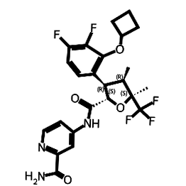 C[C@@H]1[C@H](c2ccc(F)c(F)c2OC2CCC2)[C@@H](C(=O)Nc2ccnc(C(N)=O)c2)O[C@]1(C)C(F)(F)F